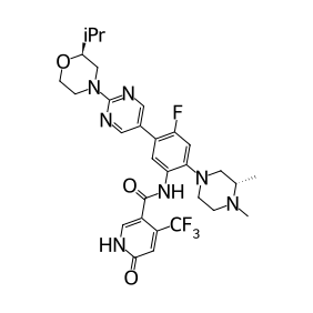 CC(C)[C@H]1CN(c2ncc(-c3cc(NC(=O)c4c[nH]c(=O)cc4C(F)(F)F)c(N4CCN(C)[C@@H](C)C4)cc3F)cn2)CCO1